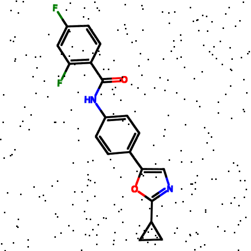 O=C(Nc1ccc(-c2cnc(C3CC3)o2)cc1)c1ccc(F)cc1F